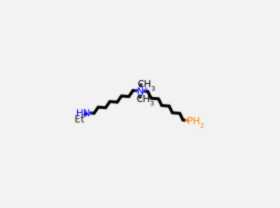 CCNCCCCCCCC[N+](C)(C)CCCCCCCCP